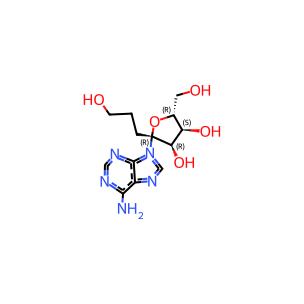 Nc1ncnc2c1ncn2[C@]1(CCCO)O[C@H](CO)[C@@H](O)[C@H]1O